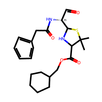 CC1(C)SC([C@@H](C=O)NC(=O)Cc2ccccc2)NC1C(=O)OCC1CCCCC1